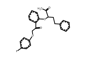 CC(=O)C(CCc1ccccc1)Oc1ccccc1C(=O)COc1ccc(F)cc1